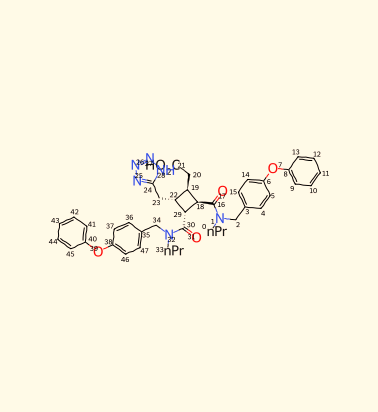 CCCN(Cc1ccc(Oc2ccccc2)cc1)C(=O)[C@@H]1[C@H](CC(=O)O)[C@@H](Cc2nnn[nH]2)[C@H]1C(=O)N(CCC)Cc1ccc(Oc2ccccc2)cc1